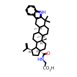 C=C(C)[C@@H]1CC[C@]2(C(=O)NCC(=O)O)CC[C@]3(C)C(CCC4[C@@]5(C)Cc6c([nH]c7ccccc67)C(C)(C)C5CC[C@]43C)C12